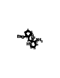 CCOc1ccccc1CC1(N)NC=CC=C1N